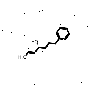 C/C=C/[C@H](O)CCCc1ccccc1